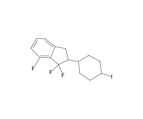 Fc1cccc2c1C(F)(F)C(C1CCC(I)CC1)C2